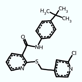 CC(C)(C)c1ccc(NC(=O)c2cccnc2SCc2ccnc(Cl)c2)cc1